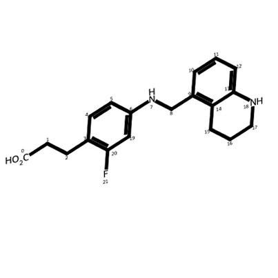 O=C(O)CCc1ccc(NCc2cccc3c2CCCN3)cc1F